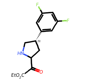 CCOC(=O)C(=O)C1C[C@@H](c2cc(F)cc(F)c2)CN1